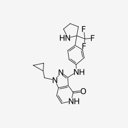 O=c1[nH]ccc2c1c(Nc1ccc(C3(C(F)(F)F)CCCN3)cc1)nn2CC1CC1